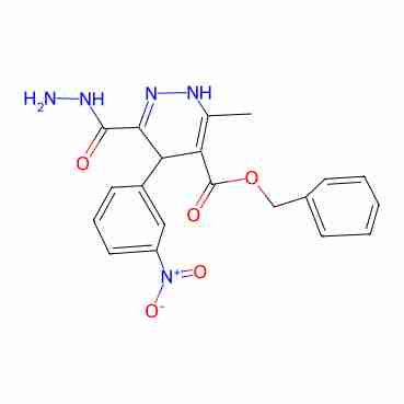 CC1=C(C(=O)OCc2ccccc2)C(c2cccc([N+](=O)[O-])c2)C(C(=O)NN)=NN1